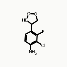 Nc1ccc(C2BOOC2)c(F)c1Cl